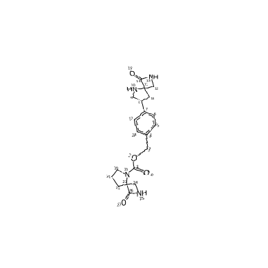 O=C(OCc1ccc(C2CNC3(CNC3=O)C2)cc1)N1CCCC12CNC2=O